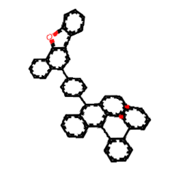 c1ccc(-c2ccccc2-c2c3ccccc3c(-c3ccc(-c4cc5c6ccccc6oc5c5ccccc45)cc3)c3ccccc23)cc1